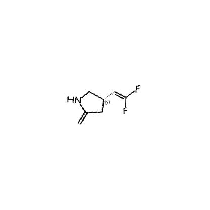 C=C1C[C@@H](C=C(F)F)CN1